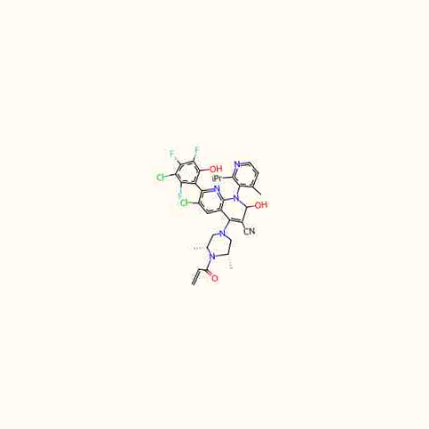 C=CC(=O)N1[C@H](C)CN(C2=C(C#N)C(O)N(c3c(C)ccnc3C(C)C)c3nc(-c4c(O)c(F)c(F)c(Cl)c4F)c(Cl)cc32)C[C@@H]1C